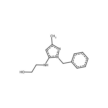 Cc1cc(NCCO)n(Cc2ccccc2)n1